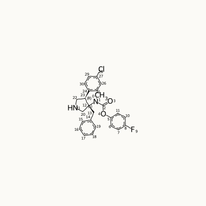 CN(C(=O)Oc1ccc(F)cc1)[C@]1(Cc2ccccc2)CNC[C@H]1c1ccc(Cl)cc1